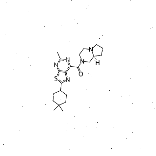 Cc1nc(C(=O)N2CCN3CCC[C@H]3C2)c2nc(C3CCC(C)(C)CC3)sc2n1